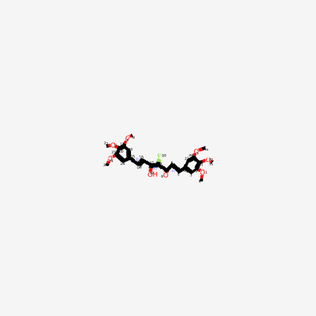 COc1cc(/C=C/C(=O)/C(F)=C(O)/C=C/c2cc(OC)c(OC)c(OC)c2)cc(OC)c1OC